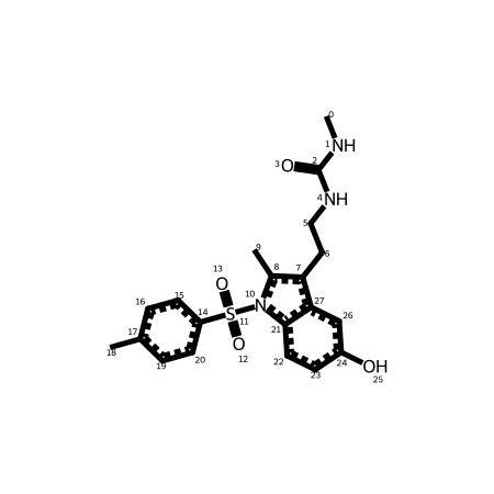 CNC(=O)NCCc1c(C)n(S(=O)(=O)c2ccc(C)cc2)c2ccc(O)cc12